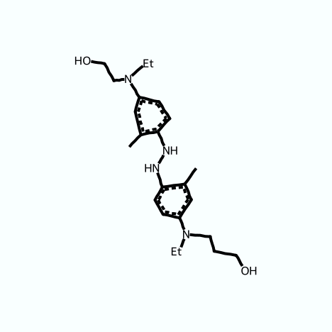 CCN(CCO)c1ccc(NNc2ccc(N(CC)CCCO)cc2C)c(C)c1